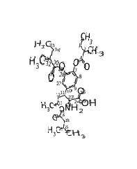 CCC(C)C(=O)Oc1ccc(C(CC(C)OC(=O)CC(C)C)[C@H](N)C(=O)O)cc1OC(=O)C(C)CC